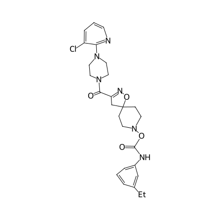 CCc1cccc(NC(=O)ON2CCC3(CC2)CC(C(=O)N2CCN(c4ncccc4Cl)CC2)=NO3)c1